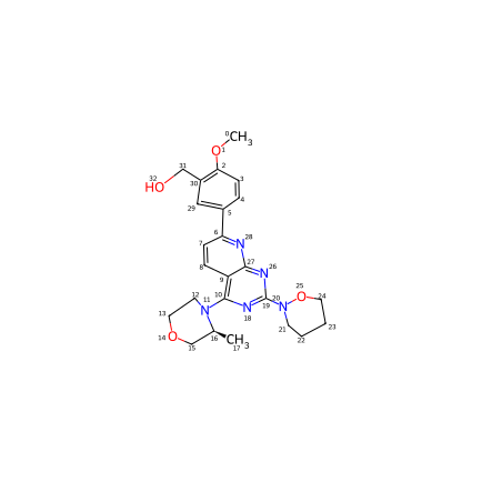 COc1ccc(-c2ccc3c(N4CCOC[C@@H]4C)nc(N4CCCCO4)nc3n2)cc1CO